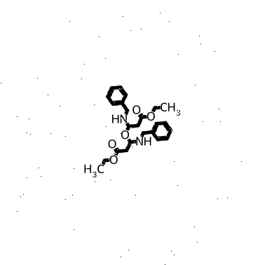 CCOC(=O)CC(NCc1ccccc1)OC(CC(=O)OCC)NCc1ccccc1